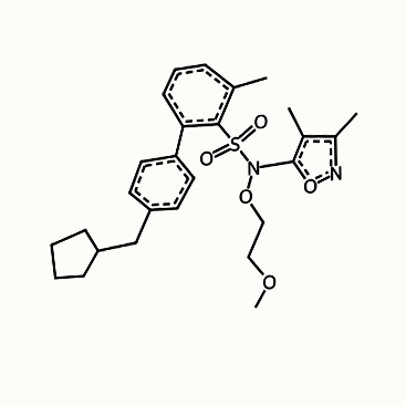 COCCON(c1onc(C)c1C)S(=O)(=O)c1c(C)cccc1-c1ccc(CC2CCCC2)cc1